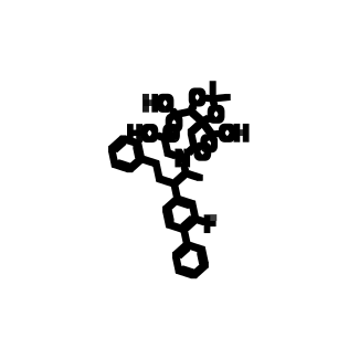 CC(C(CCc1ccccc1)c1ccc(-c2ccccc2)c(F)c1)N(CC(=O)O)C(=O)CC1(C(=O)O)OC(C)(C)OC1C(=O)O